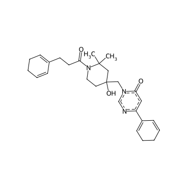 CC1(C)CC(O)(Cn2cnc(C3=CCCC=C3)cc2=O)CCN1C(=O)CCC1=CCCC=C1